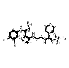 CS(=O)(=O)/N=C(/NCCNc1nonc1/C(=N/O)Nc1ccc(F)c(Br)c1)N1CCOCC1